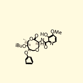 COc1ccnc(C(=O)N[C@H]2COC[C@H](Oc3ccccc3)[C@@H](OCC(C)C)[C@H](C)OC2=O)c1O